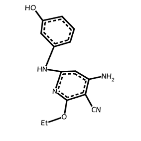 CCOc1nc(Nc2cccc(O)c2)cc(N)c1C#N